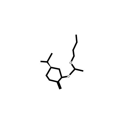 C=C1CC[C@@H](C(C)C)CC1OC(C)OCCCC